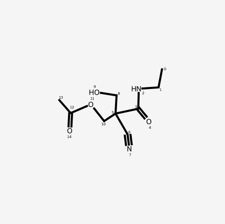 CCNC(=O)C(C#N)(CO)COC(C)=O